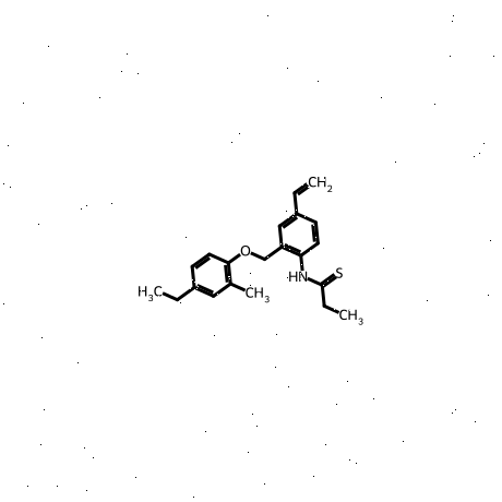 C=Cc1ccc(NC(=S)CC)c(COc2ccc(CC)cc2C)c1